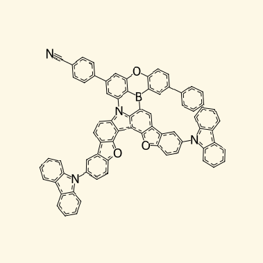 N#Cc1ccc(-c2cc3c4c(c2)-n2c5ccc6c7cc(-n8c9ccccc9c9ccccc98)ccc7oc6c5c5c6oc7ccc(-n8c9ccccc9c9ccccc98)cc7c6cc(c52)B4c2cc(-c4ccccc4)ccc2O3)cc1